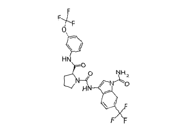 NC(=O)n1cc(NC(=O)N2CCC[C@H]2C(=O)Nc2cccc(OC(F)(F)F)c2)c2ccc(C(F)(F)F)cc21